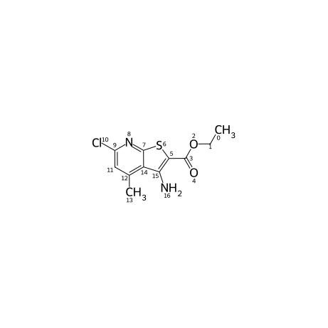 CCOC(=O)c1sc2nc(Cl)cc(C)c2c1N